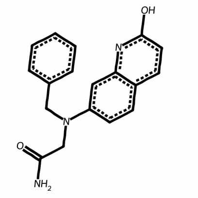 NC(=O)CN(Cc1ccccc1)c1ccc2ccc(O)nc2c1